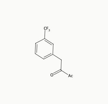 CC(=O)C(=O)Cc1cccc(C(F)(F)F)c1